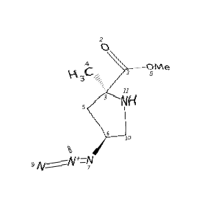 COC(=O)[C@]1(C)C[C@H](N=[N+]=[N-])CN1